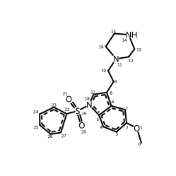 COc1ccc2c(c1)c(CCN1CCNCC1)cn2S(=O)(=O)c1ccccc1